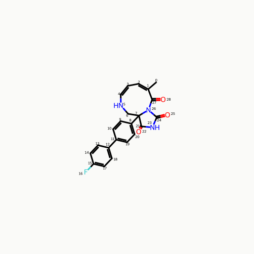 C/C1=C/C=C\NCC2(c3ccc(-c4ccc(F)cc4)cc3)C(=O)NC(=O)N2C1=O